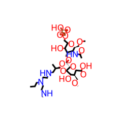 CCCN(CCNC)CCNCC(C)C(=O)OC1[C@H](COC[C@H]2C(NC(C)=O)[C@H](COC)OC(COS(=O)(=O)O)[C@@H]2O)OC(C(=O)O)[C@@H](COC)[C@H]1O